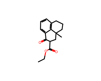 CCOC(=O)C1CC2(C)CCCc3cccc(c32)C1=O